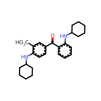 O=C(O)c1cc(C(=O)c2ccccc2NC2CCCCC2)ccc1NC1CCCCC1